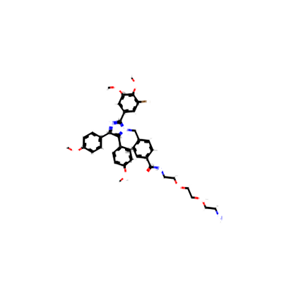 COc1ccc(-c2nc(-c3cc(Br)c(OC)c(OC)c3)n(Cc3ccc(C(=O)NCCOCCOCCN)cc3)c2-c2ccc(OC)cc2)cc1